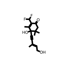 CC(C#CC1(O)C(C)=C(C(F)F)C(=O)CC1(C)C)=CCO